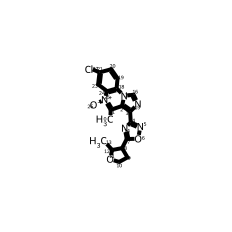 Cc1c2c(-c3noc(C4CCOC4C)n3)ncn2c2ccc(Cl)cc2[n+]1[O-]